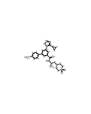 Cc1ccc(-c2cc(C(=O)N[C@H](C)CN3CCS(=O)(=O)CC3)cc(-n3nnnc3C3CC3)c2)cc1